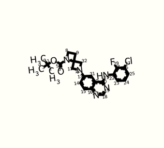 CC(C)(C)OC(=O)N1CCC12CN(c1ccc3ncnc(Nc4cccc(Cl)c4F)c3c1)C2